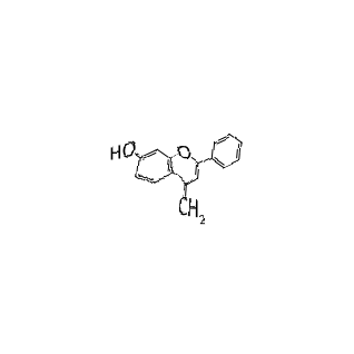 C=C1C=C(c2ccccc2)Oc2cc(O)ccc21